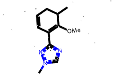 COC1=C(c2ncn(C)n2)C=CCC1C